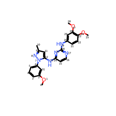 COc1cccc(-n2nc(C)cc2Nc2ccnc(Nc3ccc(OC)c(OC)c3)n2)c1